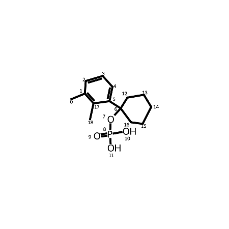 Cc1cccc(C2(OP(=O)(O)O)CCCCC2)c1C